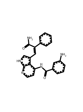 NC(=O)C(=Cc1c[nH]c2nccc(NC(=O)c3cccc(N)c3)c12)c1ccccc1